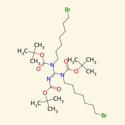 CC(C)(C)OC(=O)N=C(N(CCCCCCCBr)C(=O)OC(C)(C)C)N(CCCCCCCBr)C(=O)OC(C)(C)C